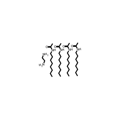 CCCCCCCCNC(C)=O.CCCCCCCCNC(C)=O.CCCCCCCCNC(C)=O.CCCCCCCCNC(C)=O.NCCN